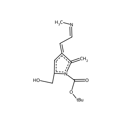 C=c1/c(=C\C=N/C)cc(CO)n1C(=O)OC(C)(C)C